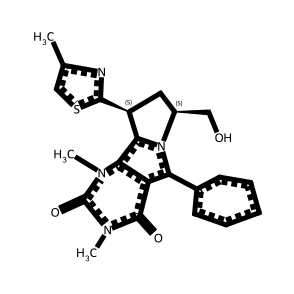 Cc1csc([C@H]2C[C@@H](CO)n3c(-c4ccccc4)c4c(=O)n(C)c(=O)n(C)c4c32)n1